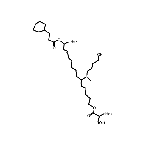 CCCCCCCCC(CCCCCC)C(=O)OCCCCCC(CCCCCSCC(CCCCCC)OC(=O)CCC1CCCCC1)N(C)CCCCO